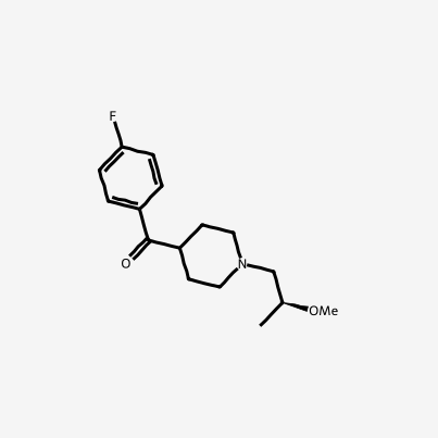 CO[C@@H](C)CN1CCC(C(=O)c2ccc(F)cc2)CC1